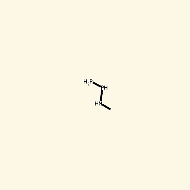 CNPP